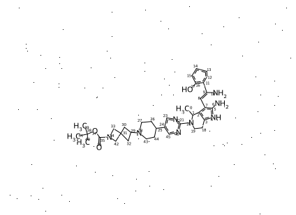 CC1c2c([nH]c(N)c2/C=C(\N)c2ccccc2O)CCN1c1ncc(C2CCN(C3CC4(C3)CN(C(=O)OC(C)(C)C)C4)CC2)cn1